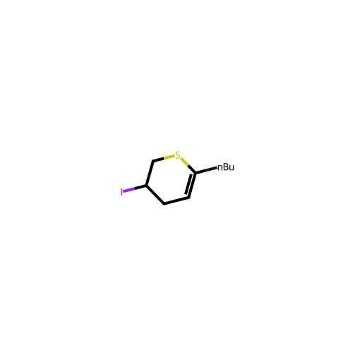 CCCCC1=CCC(I)CS1